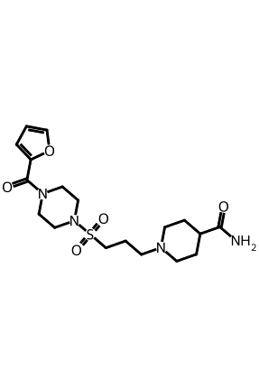 NC(=O)C1CCN(CCCS(=O)(=O)N2CCN(C(=O)c3ccco3)CC2)CC1